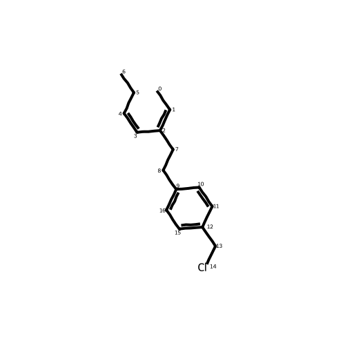 C/C=C(\C=C/CC)CCc1ccc(CCl)cc1